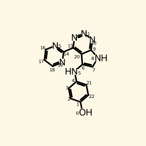 Oc1ccc(Nc2c[nH]c3nnnc(-c4ncccn4)c23)cc1